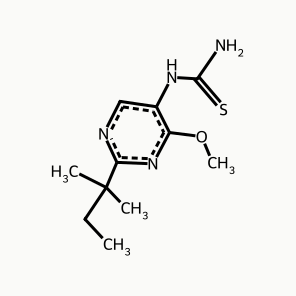 CCC(C)(C)c1ncc(NC(N)=S)c(OC)n1